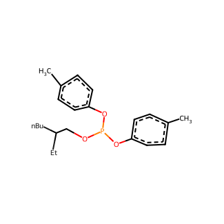 CCCCC(CC)COP(Oc1ccc(C)cc1)Oc1ccc(C)cc1